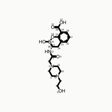 O=C(CN1CCN(CCO)CC1)N[C@H]1Cc2cccc(C(=O)O)c2OB1O